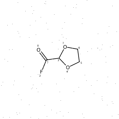 O=C(F)C1OCCO1